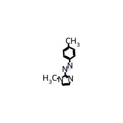 Cc1ccc(/N=N/c2nccn2C)cc1